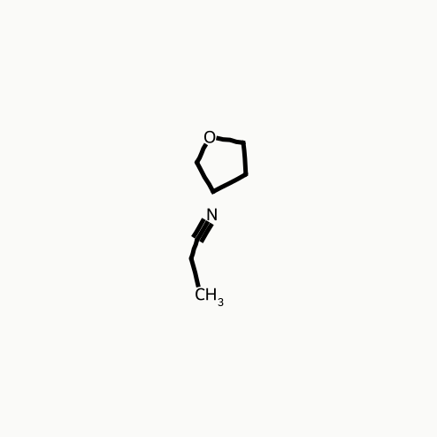 C1CCOC1.CCC#N